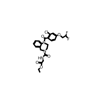 CCOC(=O)CNC(=O)N1CCN(C(=O)c2ccc(OCC(F)F)cc2Cl)c2ccccc2C1